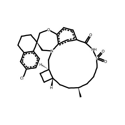 C[C@@H]1CCCS(=O)(=O)NC(=O)c2ccc3c(c2)N(C[C@@H]2CC[C@H]2CC1)C[C@@]1(CCCc2cc(Cl)ccc21)CO3